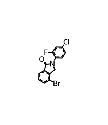 O=C1c2cccc(Br)c2CN1c1ccc(Cl)cc1F